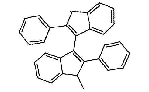 CC1C(c2ccccc2)=C(C2=C(c3ccccc3)[CH]c3ccccc32)c2ccccc21